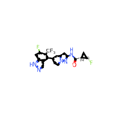 O=C(Nc1cc2cc(-c3c(C(F)(F)F)c(F)cc4[nH]ncc34)ccn2n1)[C@@H]1C[C@@H]1F